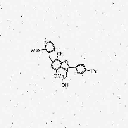 COc1cc(Cc2cccnc2SC)c(C(F)(F)F)c2nc(-c3ccc(C(C)C)cc3)n(CCO)c12